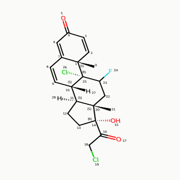 C[C@]12C=CC(=O)C=C1C=C[C@H]1[C@@H]3CC[C@](O)(C(=O)CCl)[C@@]3(C)CC(F)[C@@]12Cl